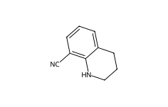 N#Cc1cccc2c1NCCC2